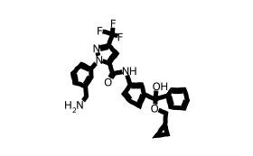 NCc1cccc(-n2nc(C(F)(F)F)cc2C(=O)Nc2cccc(C(O)(OCC3CC3)c3ccccc3)c2)c1